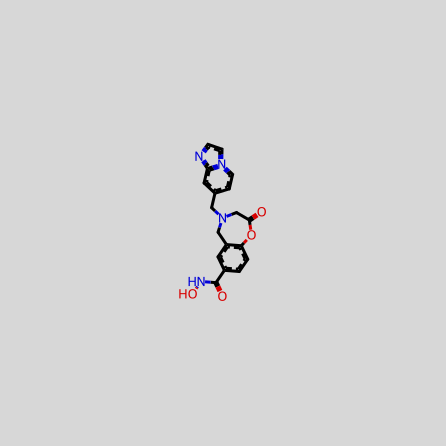 O=C1CN(Cc2ccn3ccnc3c2)Cc2cc(C(=O)NO)ccc2O1